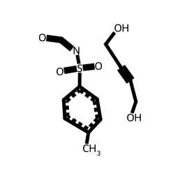 Cc1ccc(S(=O)(=O)N=C=O)cc1.OCC#CCO